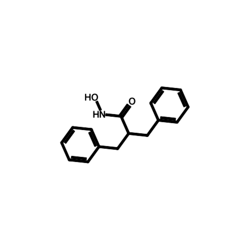 O=C(NO)C(Cc1ccccc1)Cc1ccccc1